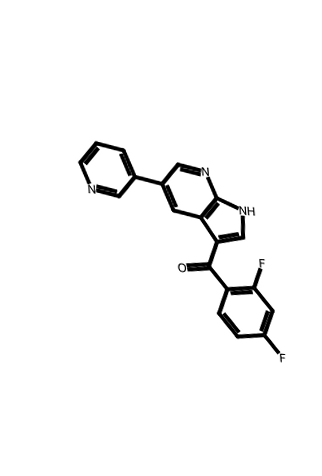 O=C(c1ccc(F)cc1F)c1c[nH]c2ncc(-c3cccnc3)cc12